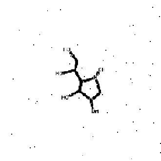 OCC(O)C1C(O)C(O)CN1O